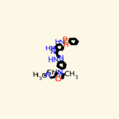 CC1COC(CN(C)C)CN1c1ccc2nc(-c3n[nH]c4cc(NS(=O)(=O)c5ccccc5)ccc34)[nH]c2c1